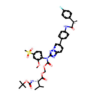 COc1cc(S(C)(=O)=O)ccc1N(C(=O)OCOC(=O)[C@@H](NC(=O)OC(C)(C)C)C(C)C)c1nc2ccc(-c3ccc(NC(=O)[C@H](C)c4ccc(F)cc4)cc3)cn2n1